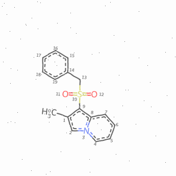 Cc1cn2ccccc2c1S(=O)(=O)Cc1ccccc1